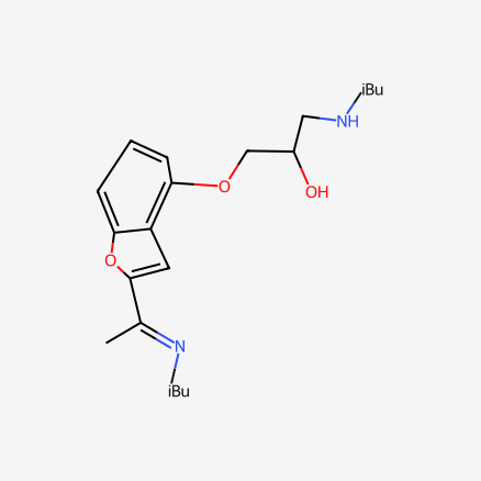 CCC(C)N=C(C)c1cc2c(OCC(O)CNC(C)CC)cccc2o1